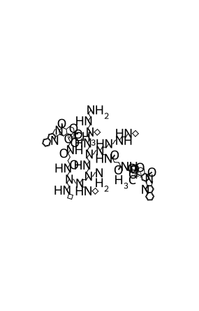 CC[C@@]1(OC(=O)CNC(=O)CCC(=O)NCCN(CCNCCNCCNC2CCC2)CCN(CCNCCN(CCN)CCN(CCNC2CCC2)CCN(CCNC(=O)CCC(=O)NCC(=O)O[C@]2(CC)C(=O)OCC3C(=O)N4Cc5cc6ccccc6nc5C4=CC32)CCNC2CCC2)CCNCCN(CCNCCN)C2CCC2)C(=O)OCc2c1cc1n(c2=O)Cc2cc3ccccc3nc2-1